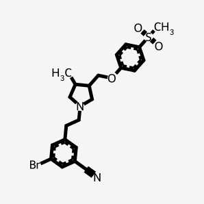 CC1CN(CCc2cc(Br)cc(C#N)c2)CC1COc1ccc(S(C)(=O)=O)cc1